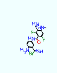 CNc1cc(F)c(C(=O)Nc2ccc(N)c(C(=N)Br)c2)c(F)c1C=N